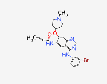 CC=CC(=O)Nc1cc2c(Nc3cccc(Br)c3)ncnc2cc1OC1CCN(C)CC1